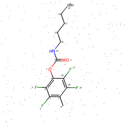 Cc1c(F)c(F)c(OC(=O)NCCCCC(C)(C)C)c(F)c1F